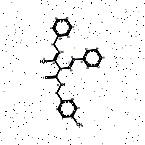 Cc1ccc(CNC(=O)C(/N=N/c2ccccc2)/C(N)=N/Cc2ccccc2)cc1